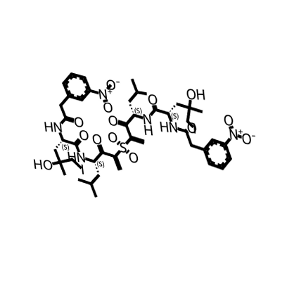 C=C(C(=O)[C@H](CC(C)C)NC(=O)[C@H](CC(C)(O)CI)NC(=O)Cc1cccc([N+](=O)[O-])c1)S(=O)(=O)C(=C)C(=O)[C@H](CC(C)C)NC(=O)[C@H](CC(C)(O)CI)NC(=O)Cc1cccc([N+](=O)[O-])c1